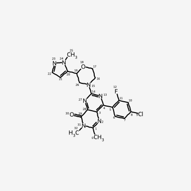 Cc1nc2c(-c3ccc(Cl)cc3F)nc(N3CCOC(c4ccnn4C)C3)nc2c(=O)n1C